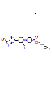 CCCCOC(=O)N1CCN(c2ccc(-c3cnc4c(Br)cnn4c3)cc2C#N)CC1